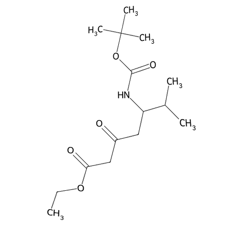 CCOC(=O)CC(=O)CC(NC(=O)OC(C)(C)C)C(C)C